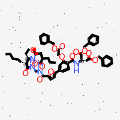 CCCCC[C@@H](C(=O)NCNC(=O)c1ccc(-c2ccc(C(=O)N[C@@H](CC(=O)OCc3ccccc3)C(=O)OCc3ccccc3)c(OCC(=O)OCc3ccccc3)c2)o1)[C@@H](CC)N(C=O)OC(=O)C(CCC)CCC